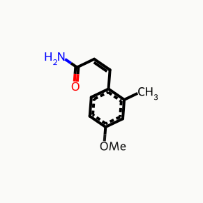 COc1ccc(/C=C\C(N)=O)c(C)c1